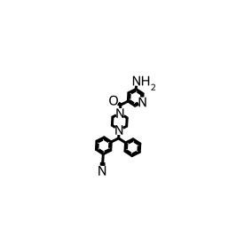 N#Cc1cccc(C(c2ccccc2)N2CCN(C(=O)c3cncc(N)c3)CC2)c1